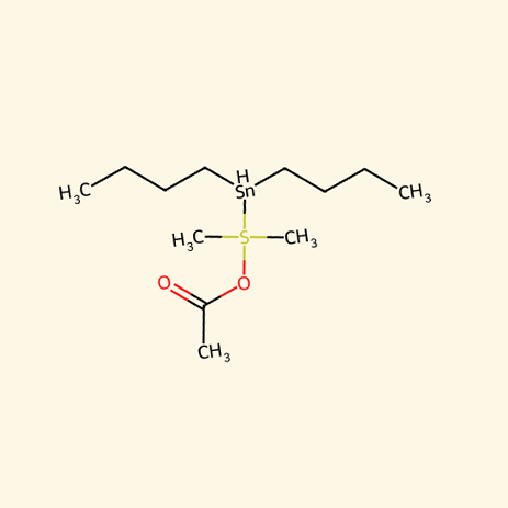 CCC[CH2][SnH]([CH2]CCC)[S](C)(C)OC(C)=O